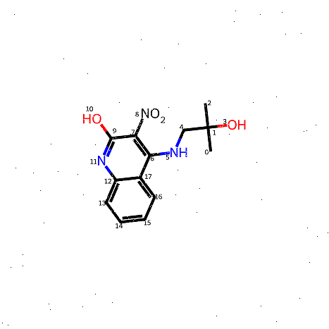 CC(C)(O)CNc1c([N+](=O)[O-])c(O)nc2ccccc12